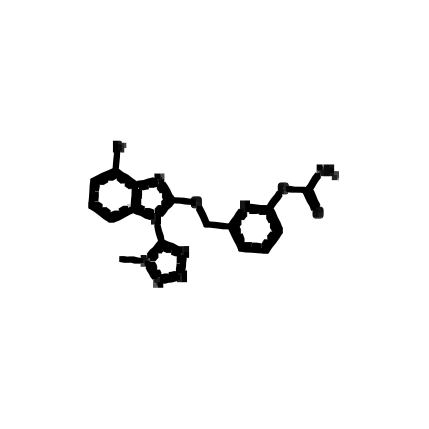 Cn1nnnc1-n1c(OCc2cccc(OC(N)=O)n2)nc2c(Br)cccc21